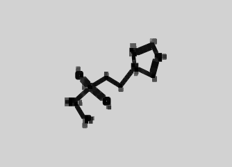 CC(C)NS(=O)(=O)CCn1cncn1